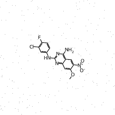 COc1cc2nc(Nc3ccc(F)c(Cl)c3)nc(N)c2cc1[N+](=O)[O-]